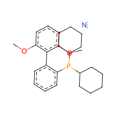 COc1cccc(OC)c1-c1ccccc1P(C1CCCCC1)C1CCCCC1.[N]